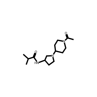 CC(=O)N1CCC(N2CCC(NC(=O)C(C)C)C2)CC1